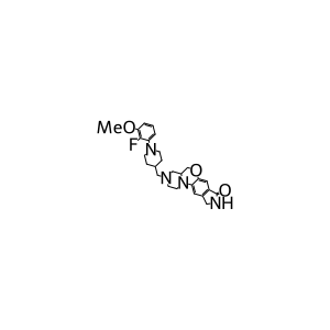 COc1cccc(N2CCC(CN3CCN4c5cc6c(cc5OCC4C3)C(=O)NC6)CC2)c1F